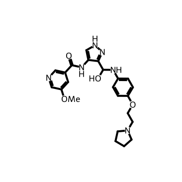 COc1cncc(C(=O)Nc2c[nH]nc2C(O)Nc2ccc(OCCN3CCCC3)cc2)c1